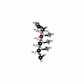 Cc1cc(N=Nc2cc(SCCCS(=O)(=O)O)c(N=Nc3cc(OCCCS(=O)(=O)O)c(N=Nc4c(C)c(C#N)c5nc6cc(S(=O)(=O)O)cc(C)c6n5c4O)cc3C)cc2C)c(SCCCS(=O)(=O)O)cc1N=Nc1ccc(Cl)cc1C#N